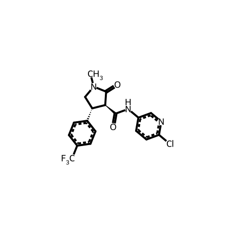 CN1C[C@@H](c2ccc(C(F)(F)F)cc2)[C@H](C(=O)Nc2ccc(Cl)nc2)C1=O